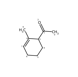 CC(=O)C1CCCC=C1C